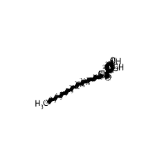 CCCCCCCCCCCCCCCCCCCCOC(=O)c1ccc(O)c(O)c1